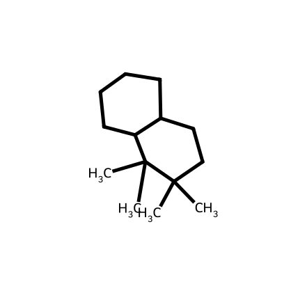 CC1(C)CCC2CCCCC2C1(C)C